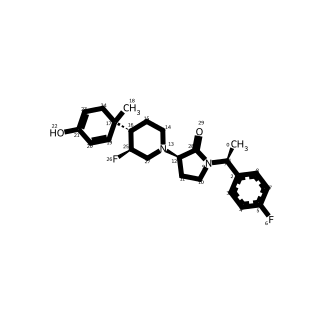 C[C@@H](c1ccc(F)cc1)N1CC[C@@H](N2CC[C@@H](C3(C)C=CC(O)=CC3)[C@H](F)C2)C1=O